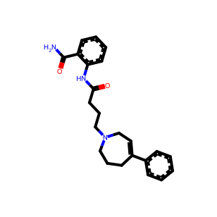 NC(=O)c1ccccc1NC(=O)CCCN1CC=C(c2ccccc2)CCC1